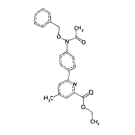 CCOC(=O)c1cc(C)cc(-c2ccc(N(OCc3ccccc3)C(C)=O)cc2)n1